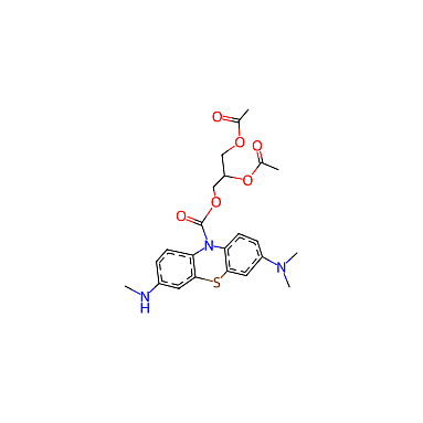 CNc1ccc2c(c1)Sc1cc(N(C)C)ccc1N2C(=O)OCC(COC(C)=O)OC(C)=O